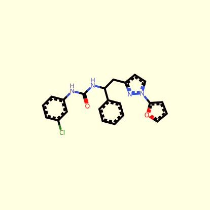 O=C(Nc1cccc(Cl)c1)NC(Cc1ccn(-c2ccco2)n1)c1ccccc1